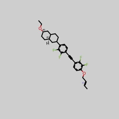 C/C=C/COc1ccc(C#Cc2ccc(C3CCC4C[C@H](OCC)CC[C@@H]4C3)c(F)c2F)c(F)c1F